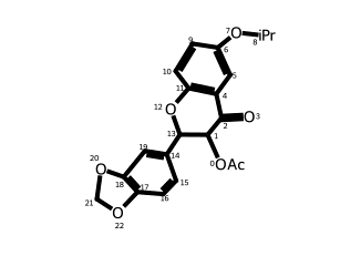 CC(=O)OC1C(=O)c2cc(OC(C)C)ccc2OC1c1ccc2c(c1)OCO2